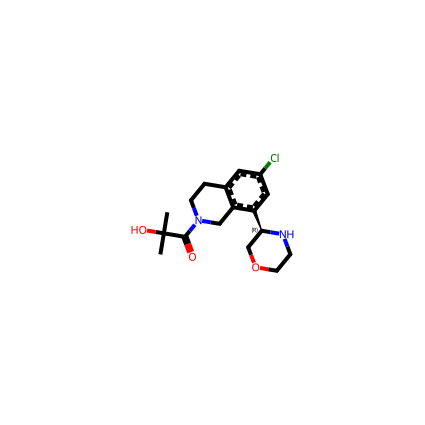 CC(C)(O)C(=O)N1CCc2cc(Cl)cc([C@@H]3COCCN3)c2C1